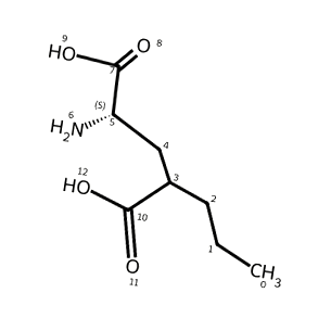 CCCC(C[C@H](N)C(=O)O)C(=O)O